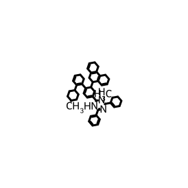 CC1CCC(C2=C(C3=CC=C(C4NC(c5ccccc5)=NC(C5=CCCCC5C)N4)CC3C3CC4=C(CCC=C4)C4=C3C=CCC4)CCC=C2)CC1